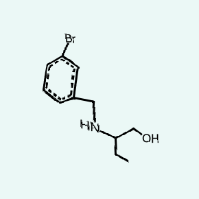 CCC(CO)NCc1cccc(Br)c1